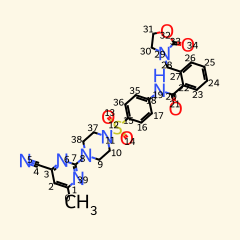 Cc1cc(C#N)nc(N2CCN(S(=O)(=O)c3ccc(NC(=O)c4ccccc4CN4CCOC4=O)cc3)CC2)n1